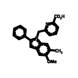 COc1cc2cc(-c3ccccc3)n(Cc3cccc(C(=O)O)n3)c2cc1C